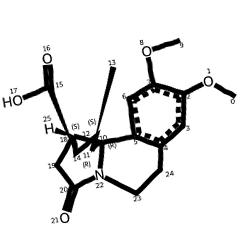 COc1cc2c(cc1OC)[C@@]13C[C@H](C)[C@@H](C(=O)O)[C@@H]1CC(=O)N3CC2